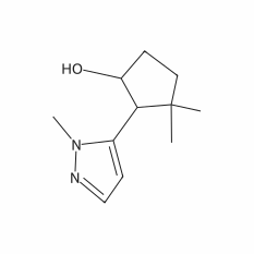 Cn1nccc1C1C(O)CCC1(C)C